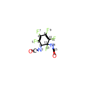 O=C=NC1C(F)=C(F)C(F)=C(F)C1(F)N=C=O